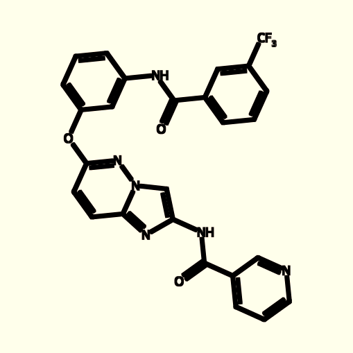 O=C(Nc1cccc(Oc2ccc3nc(NC(=O)c4cccnc4)cn3n2)c1)c1cccc(C(F)(F)F)c1